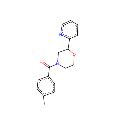 Cc1ccc(C(=O)N2CCOC(c3ccccn3)C2)cc1